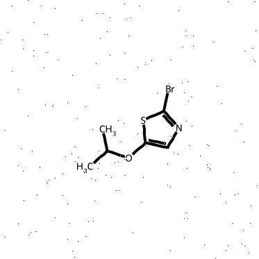 CC(C)Oc1cnc(Br)s1